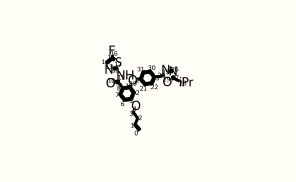 C=CCCOc1ccc(C(=O)Nc2ncc(F)s2)c(Oc2ccc(-c3nnc(C(C)C)o3)cc2)c1